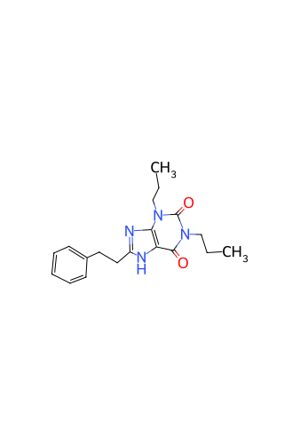 CCCn1c(=O)c2[nH]c(CCc3ccccc3)nc2n(CCC)c1=O